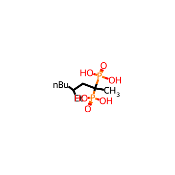 CCCCC(CC)CC(C)(P(=O)(O)O)P(=O)(O)O